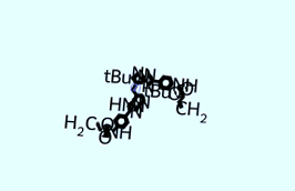 C=CCS(=O)(=O)Nc1ccc(-c2nc3/c(=C\c4c(C(C)(C)C)nn5nc(-c6ccc(NS(=O)(=O)CC=C)cc6)[nH]c45)c(C(C)(C)C)nn3n2)cc1